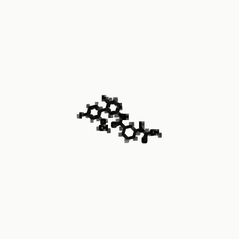 COc1cc(F)ccc1-c1cc(NC(=O)C2CCCC(NC(C)=O)C2)ncc1F